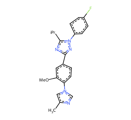 COc1cc(-c2nc(C(C)C)n(-c3ccc(F)cc3)n2)ccc1-n1cnc(C)c1